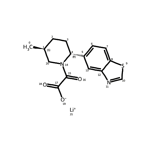 C[C@H]1CC[C@H](c2ccc3scnc3c2)N(C(=O)C(=O)[O-])C1.[Li+]